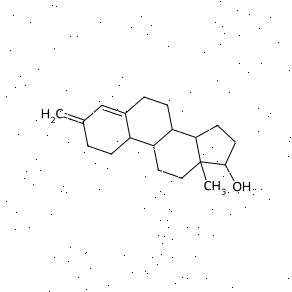 C=C1C=C2CCC3C(CCC4(C)C(O)CCC34)C2CC1